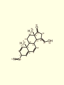 C[C@]12C=CC(N=[N])C=C1C=CC1C2CC[C@]2(C)C(=O)CC(=CO)C12